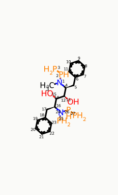 CN(PP)[C@@H](Cc1ccccc1)[C@@H](O)[C@H](O)[C@H](Cc1ccccc1)N(P)PP